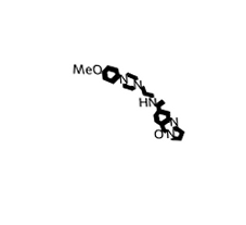 C=C(NCCCN1CCN(c2ccc(OC)cc2)CC1)c1ccc2c(=O)n3c(nc2c1)CCC3